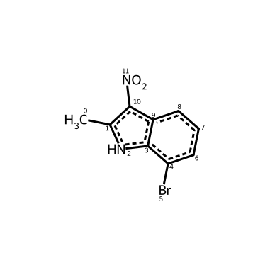 Cc1[nH]c2c(Br)cccc2c1[N+](=O)[O-]